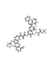 CC(C)(C)OC(=O)NCC[C@H](NC(=O)CNC(=O)Nc1ccc2c(CN3CCCC3)cn(Cc3c(Cl)cccc3Cl)c2c1)C(=O)N[C@@H](Cc1ccccc1)C(=O)NCc1ccccc1